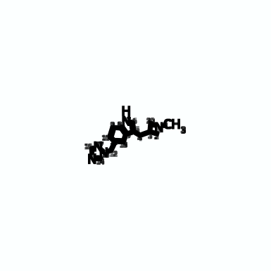 CN1CC(Cc2c[nH]c3ccc(Cn4cncn4)cc23)C1